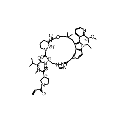 C=CC(=O)N1CC[C@H](C(=O)N(C)[C@H](C(=O)N[C@H]2Cn3cnc(n3)-c3ccc4c(c3)c(c(-c3cccnc3[C@H](C)OC)n4CC)CC(C)(C)COC(=O)[C@@H]3CCCN(N3)C2=O)C(C)C)C1